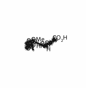 C=CCOC(=O)N1c2cc(OCCCCCC(=O)Nc3cc(C(=O)Nc4ccc(-c5cc(C(=O)O)n(C)c5)cc4)n(C)c3)c(OC)cc2C(=O)N2CCCC[C@H]2C1OC1CCCCO1